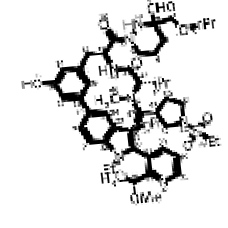 CCCOCC1(C=O)CCCN(C(=O)[C@H](Cc2cc(O)cc(-c3ccc4c(c3)c(CCC)c(-c3cccnc3[C@H](C)OC)n4CC)c2)NC(=O)[C@H](C(C)C)N(C)C(=O)[C@H]2CCN(S(=O)(=O)CC)C2)N1